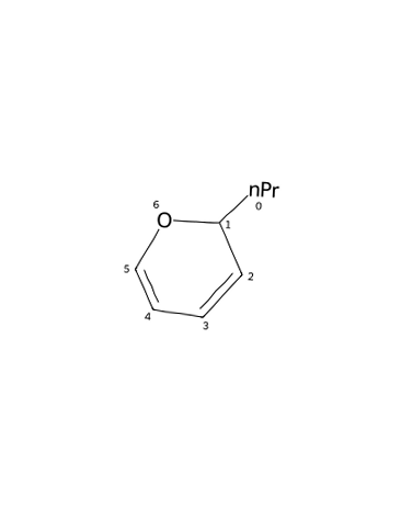 CCCC1C=CC=CO1